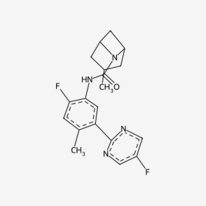 Cc1cc(F)c(NC(=O)N2C3CC(C)CC2C3)cc1-c1ncc(F)cn1